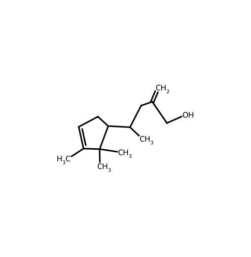 C=C(CO)CC(C)C1CC=C(C)C1(C)C